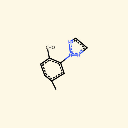 Cc1ccc(C=O)c(-n2nccn2)c1